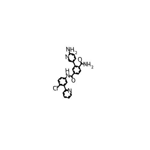 NC(=O)c1ccc(C(=O)Nc2ccc(Cl)c(-c3ccccn3)c2)cc1-c1ccc(N)nc1